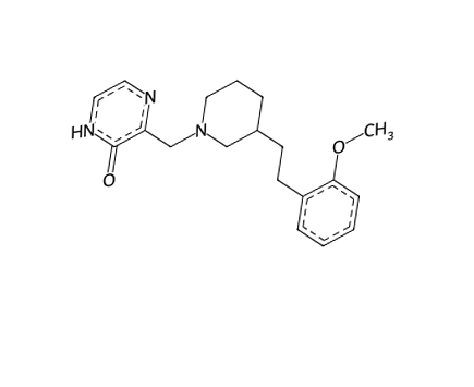 COc1ccccc1CCC1CCCN(Cc2ncc[nH]c2=O)C1